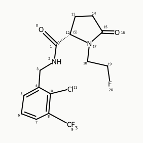 O=C(NCc1cccc(C(F)(F)F)c1Cl)[C@@H]1CCC(=O)N1CCF